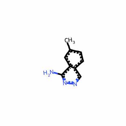 Cc1ccc2cnnc(N)c2c1